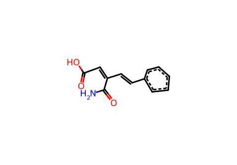 NC(=O)C(=C\C(=O)O)/C=C/c1ccccc1